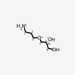 NCCCOC[C@H](O)CO